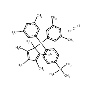 CC1=C(C)C(C)([Si](c2ccc([Si](C)(C)C)cc2)(c2cc(C)cc(C)c2)c2cc(C)cc(C)c2)[C]([Ti+3])=C1C.[Cl-].[Cl-].[Cl-]